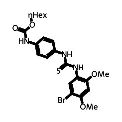 CCCCCCOC(=O)Nc1ccc(NC(=S)Nc2cc(Br)c(OC)cc2OC)cc1